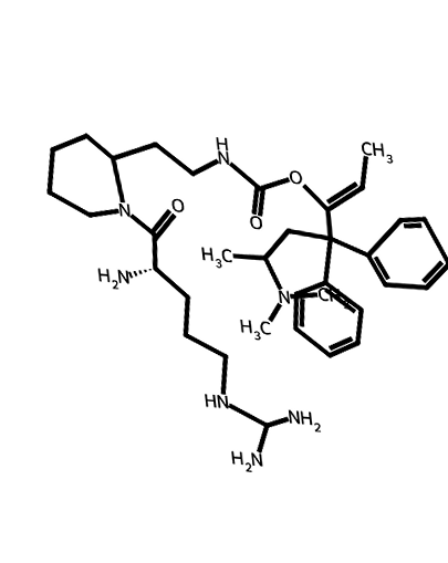 C/C=C(\OC(=O)NCCC1CCCCN1C(=O)[C@@H](N)CCCNC(N)N)C(CC(C)N(C)C)(c1ccccc1)c1ccccc1